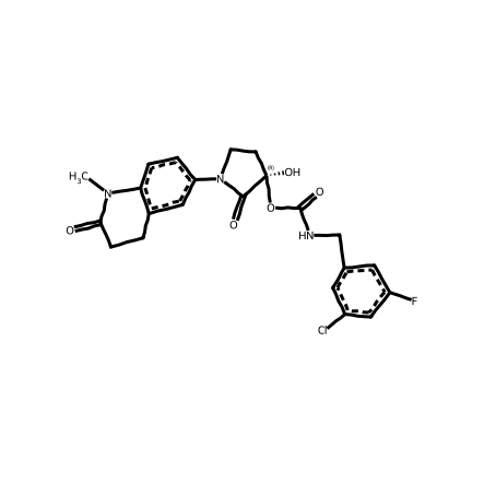 CN1C(=O)CCc2cc(N3CC[C@@](O)(OC(=O)NCc4cc(F)cc(Cl)c4)C3=O)ccc21